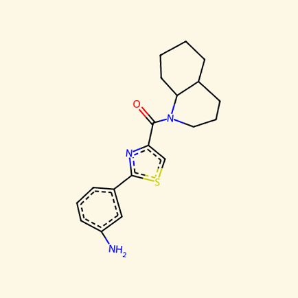 Nc1cccc(-c2nc(C(=O)N3CCCC4CCCCC43)cs2)c1